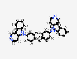 c1ccc2c(c1)c1cnccc1n2-c1ccc(Cc2ccc(-n3c4ccccc4c4cnccc43)cc2)cc1